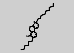 CCCCCCCCCc1ccc2c(n1)CCc1c-2ccc(CCCCCC)c1F